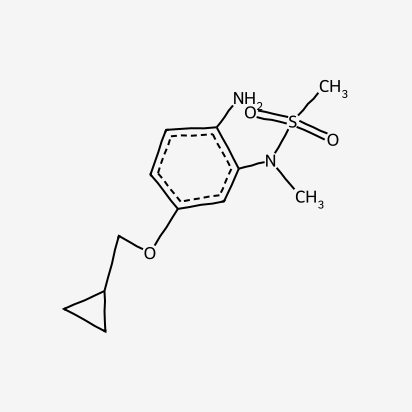 CN(c1cc(OCC2CC2)ccc1N)S(C)(=O)=O